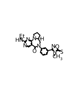 CCNc1ncc2c(n1)N1CCC[C@H]1CN(c1cccc(-c3noc(=S)n3C)c1)C2=O